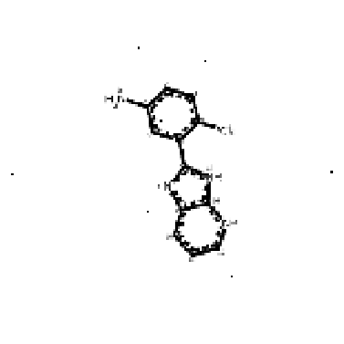 Nc1ccc(Cl)c(-c2nc3cccnc3[nH]2)c1